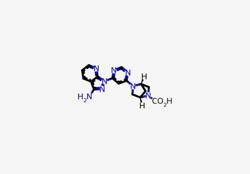 Nc1nn(-c2cc(N3C[C@@H]4C[C@H]3CN4C(=O)O)ncn2)c2ncccc12